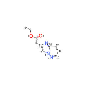 CCOC(=O)Cc1cn2ncccc2n1